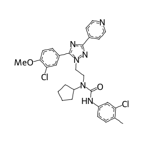 COc1ccc(-c2nc(-c3ccncc3)nn2CCN(C(=O)Nc2ccc(C)c(Cl)c2)C2CCCC2)cc1Cl